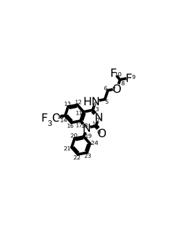 O=c1nc(NCCOC(F)F)c2ccc(C(F)(F)F)cc2n1-c1ccccc1